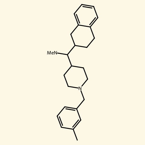 CNC(C1CCN(Cc2cccc(C)c2)CC1)C1CCc2ccccc2C1